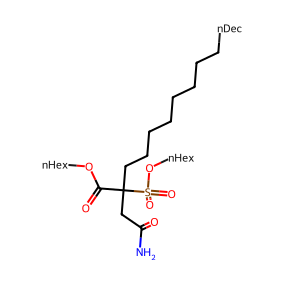 CCCCCCCCCCCCCCCCCCC(CC(N)=O)(C(=O)OCCCCCC)S(=O)(=O)OCCCCCC